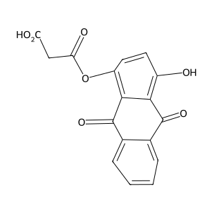 O=C(O)CC(=O)Oc1ccc(O)c2c1C(=O)c1ccccc1C2=O